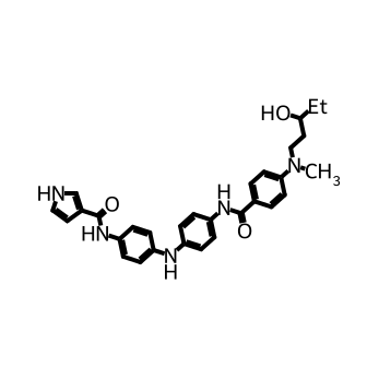 CCC(O)CCN(C)c1ccc(C(=O)Nc2ccc(Nc3ccc(NC(=O)c4cc[nH]c4)cc3)cc2)cc1